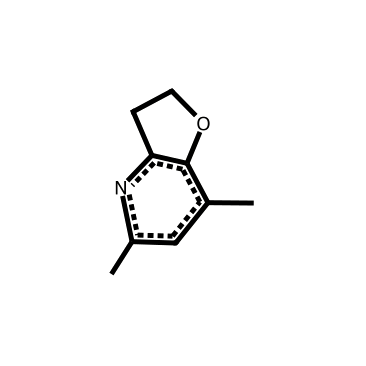 Cc1cc(C)c2c(n1)CCO2